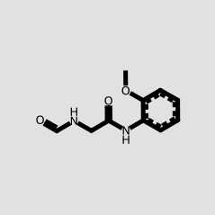 COc1ccccc1NC(=O)CNC=O